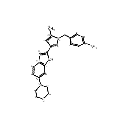 Cc1ccc(Cn2nc(-c3nc4ccc(N5CCOCC5)cc4[nH]3)cc2C)cc1